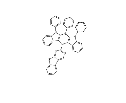 c1ccc(B2c3c(c4ccccc4n3-c3ccccc3)N(c3ncc4c(n3)sc3ccccc34)c3c2n(-c2ccccc2)c2ccccc32)cc1